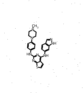 CN1CCN(c2ccc(Nc3nc(Nc4ccc5cn[nH]c5c4)c4ccsc4n3)cc2)CC1